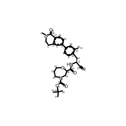 CN1CCc2cc(-c3ccc(C[C@@H](C#N)NC(=O)C4CN(C(=O)OC(C)(C)C)CCCO4)c(F)c3)ccc2C1=O